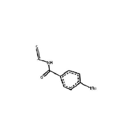 CC(C)(C)c1ccc(C(=O)N[C]=S)cc1